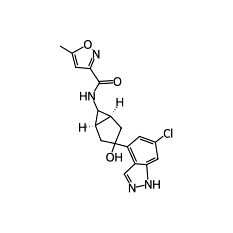 Cc1cc(C(=O)NC2[C@H]3CC(O)(c4cc(Cl)cc5[nH]ncc45)C[C@@H]23)no1